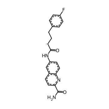 NC(=O)c1ccc2cc(NC(=O)[CH]CCc3ccc(F)cc3)ccc2n1